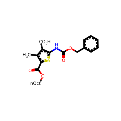 CCCCCCCCOC(=O)c1sc(NC(=O)OCc2ccccc2)c(C(=O)O)c1C